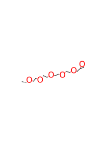 CCOCCOCCOCCOCCOCC1CO1